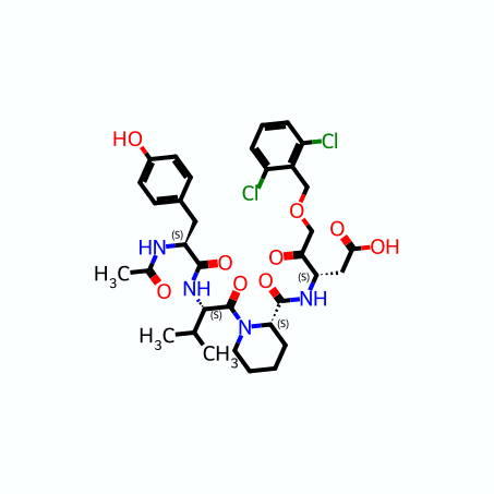 CC(=O)N[C@@H](Cc1ccc(O)cc1)C(=O)N[C@H](C(=O)N1CCCC[C@H]1C(=O)N[C@@H](CC(=O)O)C(=O)COCc1c(Cl)cccc1Cl)C(C)C